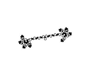 CC(C)(C)[Si](C)(C)OC1O[C@H](COCCOCCOCCOC(=O)OCCOCCOCCOC[C@H]2OC(O[Si](C)(C)C(C)(C)C)[C@@H](O[Si](C)(C)C(C)(C)C)[C@@H](O[Si](C)(C)C(C)(C)C)[C@@H]2O[Si](C)(C)C(C)(C)C)[C@@H](O[Si](C)(C)C(C)(C)C)[C@H](O[Si](C)(C)C(C)(C)C)[C@@H]1O[Si](C)(C)C(C)(C)C